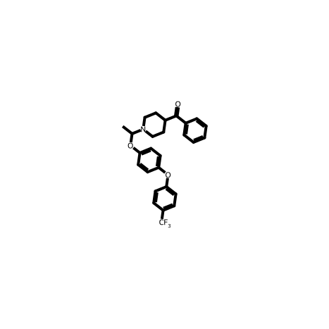 CC(Oc1ccc(Oc2ccc(C(F)(F)F)cc2)cc1)N1CCC(C(=O)c2ccccc2)CC1